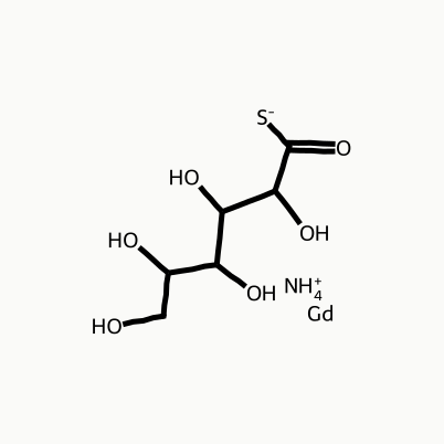 O=C([S-])C(O)C(O)C(O)C(O)CO.[Gd].[NH4+]